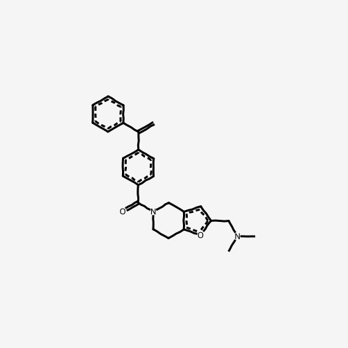 C=C(c1ccccc1)c1ccc(C(=O)N2CCc3oc(CN(C)C)cc3C2)cc1